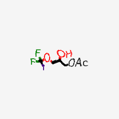 CC(=O)OCC(O)COC(F)(F)I